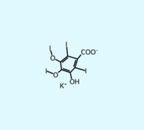 O=C([O-])c1c(I)c(O)c(OI)c(OI)c1I.[K+]